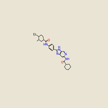 CCC1CCC(C(=O)Nc2ccc(-c3nc4cc(NC(=O)C5CCCCC5)ncc4[nH]3)cc2)CC1C